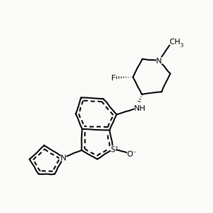 CN1CC[C@H](Nc2cccc3c(-n4cccc4)c[s+]([O-])c23)[C@H](F)C1